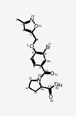 Cc1cc(COc2ccc(C(=O)N3CCCC3C(=O)O)cc2Br)on1